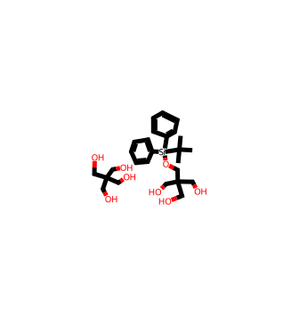 CC(C)(C)[Si](OCC(CO)(CO)CO)(c1ccccc1)c1ccccc1.OCC(CO)(CO)CO